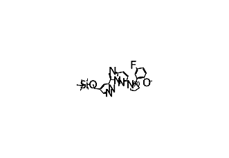 COc1ccc(F)cc1[C@H]1CCCN1c1ccc2ncc(-c3cc(CO[Si](C)(C)C(C)(C)C)cnn3)n2n1